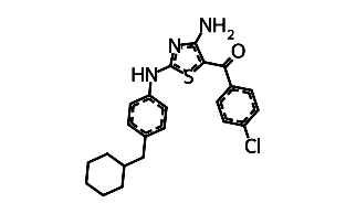 Nc1nc(Nc2ccc(CC3CCCCC3)cc2)sc1C(=O)c1ccc(Cl)cc1